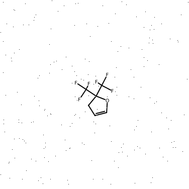 FC(F)(F)C1(C(F)(F)F)CC=CO1